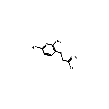 C=C(CC)COc1ccc(C)nc1[N+](=O)[O-]